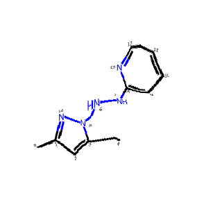 Cc1cc(C)n(NNc2ccccn2)n1